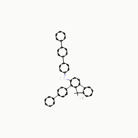 CC1(C)c2ccccc2-c2ccc(Nc3ccc(-c4ccc(-c5ccccc5)cc4)cc3)c(-c3ccc(-c4ccccc4)cc3)c21